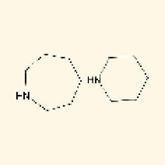 C1CCCNCC1.C1CCNCC1